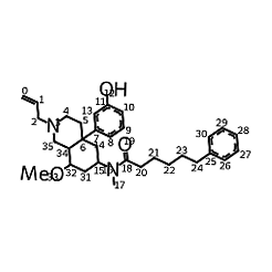 C=CCN1CCC2(c3cccc(O)c3)CC(N(C)C(=O)CCCCCc3ccccc3)CC(OC)C2C1